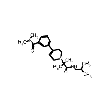 CC(C)CNC(=O)C(C)(C)N1CC=C(c2cccc(C(=O)N(C)C)c2)CC1